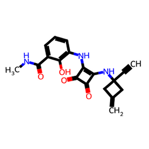 C#CC1(Nc2c(Nc3cccc(C(=O)NC)c3O)c(=O)c2=O)CC(=C)C1